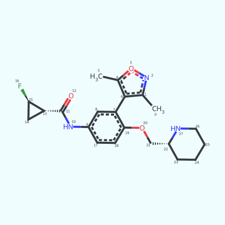 Cc1noc(C)c1-c1cc(NC(=O)[C@@H]2C[C@H]2F)ccc1OC[C@H]1CCCCN1